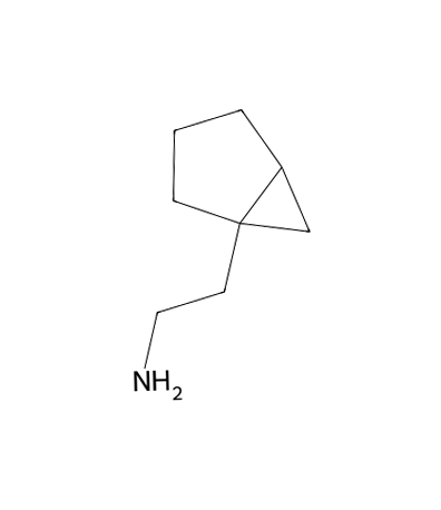 NCCC12CCCC1C2